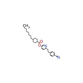 CCCCCCCCC1CCC(C(=O)Oc2ccc(CCc3ccc(C#N)cc3)nc2)CC1